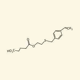 C=Cc1ccc(CSCCOC(=O)CCCC(=O)O)cc1